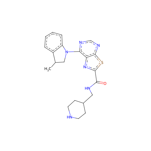 CC1CN(c2ncnc3sc(C(=O)NCC4CCNCC4)nc23)c2ccccc21